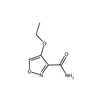 CCOc1conc1C(N)=O